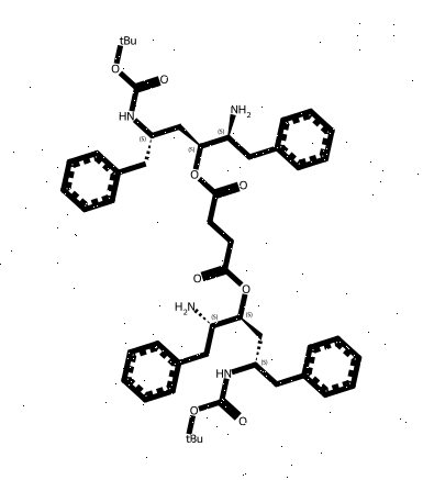 CC(C)(C)OC(=O)N[C@@H](Cc1ccccc1)C[C@H](OC(=O)CCC(=O)O[C@@H](C[C@H](Cc1ccccc1)NC(=O)OC(C)(C)C)[C@@H](N)Cc1ccccc1)[C@@H](N)Cc1ccccc1